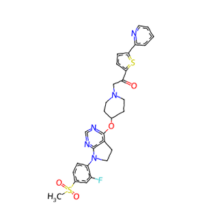 CS(=O)(=O)c1ccc(N2CCc3c(OC4CCN(CC(=O)c5ccc(-c6ccccn6)s5)CC4)ncnc32)c(F)c1